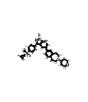 O=S(=O)(c1ccc(-c2n[nH]c3ncc(-c4ccc5c(c4)CCN(C4CCOCC4)CC5)cc23)cc1)C1CC1